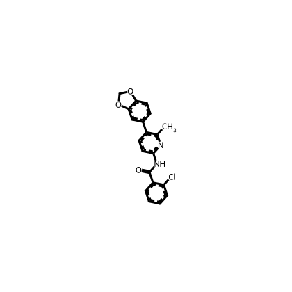 Cc1nc(NC(=O)c2ccccc2Cl)ccc1-c1ccc2c(c1)OCO2